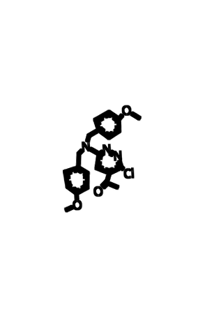 COc1ccc(CN(Cc2ccc(OC)cc2)c2cc(C(C)=O)c(Cl)nn2)cc1